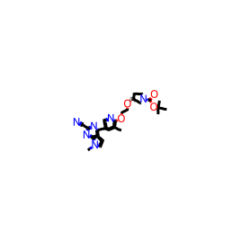 Cc1cc(-c2nc(C#N)nc3c2ccn3C)cnc1OCCO[C@@H]1CCN(C(=O)OC(C)(C)C)C1